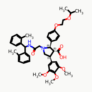 COc1cc([C@H]2CN(CC(=O)NC(c3ccccc3C)c3ccccc3C)[C@@H](c3ccc(OCCOC(C)C)cc3)[C@@H]2C(=O)O)cc(OC)c1OC